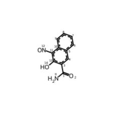 NC(=O)c1cc2ccccc2c(N=O)c1O